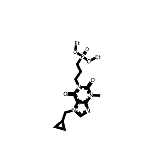 CCOP(=O)(CCCn1c(=O)c2c(ncn2CC2CC2)n(C)c1=O)OCC